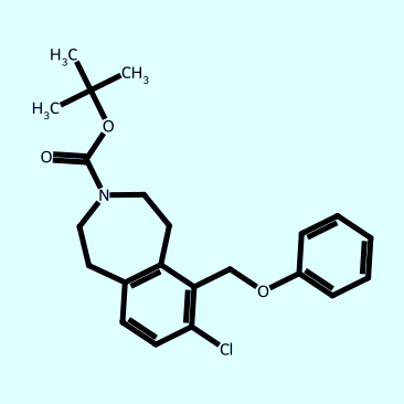 CC(C)(C)OC(=O)N1CCc2ccc(Cl)c(COc3ccccc3)c2CC1